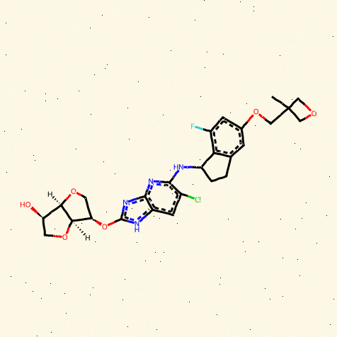 CC1(COc2cc(F)c3c(c2)CCC3Nc2nc3nc(O[C@@H]4CO[C@H]5[C@@H]4OC[C@H]5O)[nH]c3cc2Cl)COC1